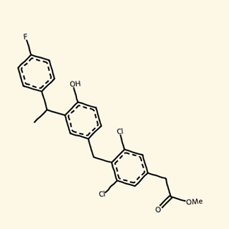 COC(=O)Cc1cc(Cl)c(Cc2ccc(O)c(C(C)c3ccc(F)cc3)c2)c(Cl)c1